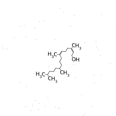 CC(=CCO)CCC=C(C)CCCC(C)CCCC(C)C